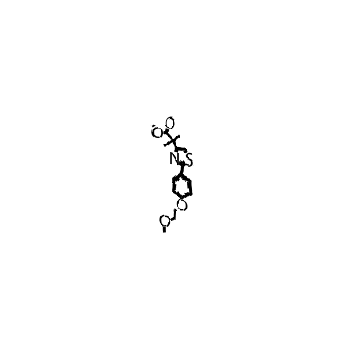 COCCOc1ccc(-c2nc(C(C)(C)C(=O)OC)cs2)cc1